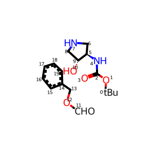 CC(C)(C)OC(=O)N[C@@H]1CNC[C@H]1O.O=COCc1ccccc1